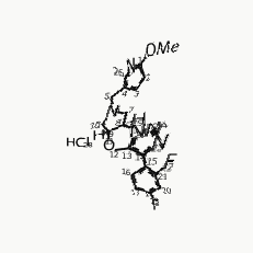 COc1ccc(CN2C[C@@H]3[C@@H](C2)OCc2c(-c4ccc(F)cc4F)nnn23)cn1.Cl